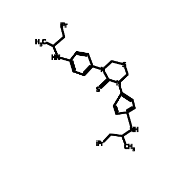 CC(C)CC(C)Nc1ccc(N2CSCN(c3ccc(NC(C)CC(C)C)cc3)C2=S)cc1